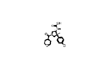 CN(C(=O)O)[C@@H]1CN(C(=O)C2CCOCC2)C[C@@]1(C)c1ccc(Cl)cc1